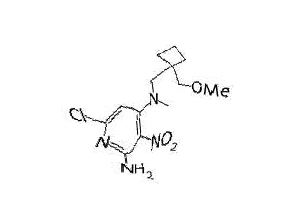 COCC1(CN(C)c2cc(Cl)nc(N)c2[N+](=O)[O-])CCC1